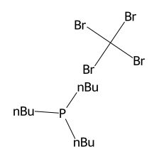 BrC(Br)(Br)Br.CCCCP(CCCC)CCCC